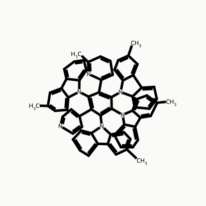 Cc1ccc2c(c1)c1ccccc1n2-c1c(-c2ccncc2)c(-n2c3ccccc3c3cc(C)ccc32)c(-n2c3ccccc3c3cc(C)ccc32)c(-n2c3ccccc3c3cc(C)ccc32)c1-c1cccc(C)n1